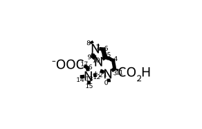 CN(C)[C@@H](Cc1cn(C)cn1)C(=O)O.C[N+](C)(C)CC(=O)[O-]